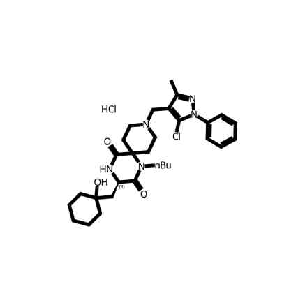 CCCCN1C(=O)[C@@H](CC2(O)CCCCC2)NC(=O)C12CCN(Cc1c(C)nn(-c3ccccc3)c1Cl)CC2.Cl